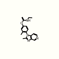 C=C(NCC)Oc1ccc(-n2c(C)nc3cnccc32)c(C)c1